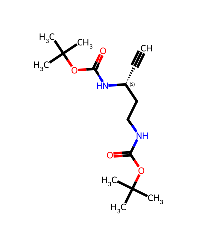 C#C[C@H](CCNC(=O)OC(C)(C)C)NC(=O)OC(C)(C)C